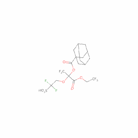 O=C(OC(OCC(F)(F)S(=O)(=O)O)(C(=O)OCC(F)(F)F)C(F)(F)F)C12CC3CC(CC(C3)C1)C2